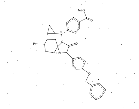 COC(=O)c1ccc([C@@H](C2CC2)N2C(=O)C(c3ccc(OCc4ccccc4)cc3)NC23CCC(C(C)C)CC3)cc1